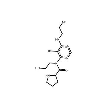 O=C(C1CCCN1)N(CCO)c1ncnc(NCCO)c1Br